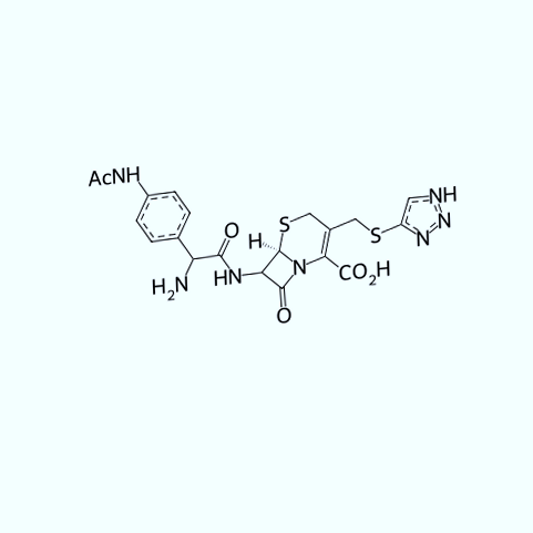 CC(=O)Nc1ccc(C(N)C(=O)NC2C(=O)N3C(C(=O)O)=C(CSc4c[nH]nn4)CS[C@H]23)cc1